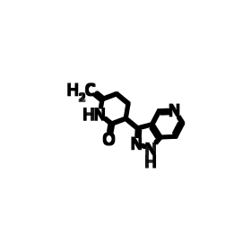 C=C1CCC(c2n[nH]c3ccncc23)C(=O)N1